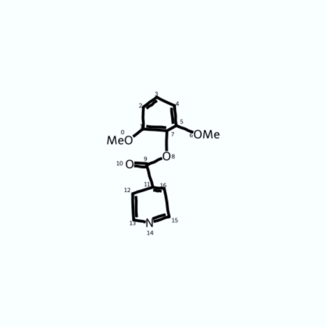 COc1cccc(OC)c1OC(=O)c1ccncc1